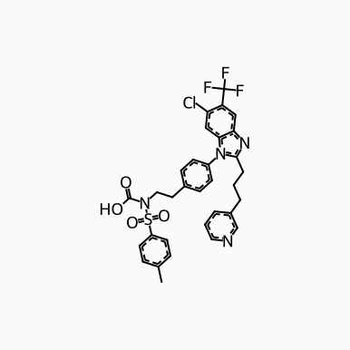 Cc1ccc(S(=O)(=O)N(CCc2ccc(-n3c(CCCc4cccnc4)nc4cc(C(F)(F)F)c(Cl)cc43)cc2)C(=O)O)cc1